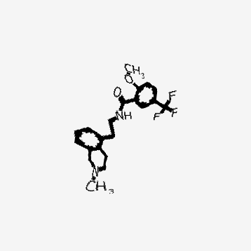 COc1ccc(C(F)(F)F)cc1C(=O)NCCc1cccc2c1CCN(C)C2